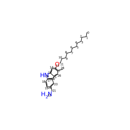 CCCCCCCCCCCCOc1cc2[nH]c3ccc(CN)cc3c2cc1C